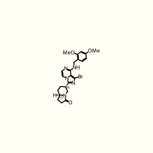 COc1ccc(CNc2nccn3c([C@@H]4CC[C@H]5CCC(=O)N5C4)nc(Br)c23)c(OC)c1